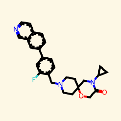 O=C1COC2(CCN(Cc3ccc(-c4ccc5ccncc5c4)cc3F)CC2)CN1C1CC1